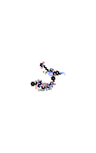 CCC(C)C(C(CC(=O)N1CCCC1C(OC)C(C)C(=O)NC(C)C(O)c1ccccc1)OC)N(C)C(=O)C(NC(=O)C(C(C)C)N(C)C(=O)OCc1ccc(NC(=O)C(CC2CCC(CN)CC2)NC(=O)C(NC(CCCCCN2C(=O)C=CC2=O)C(F)(F)F)C(C)C)cc1)C(C)C